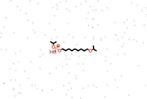 CC(C)OCCCCCCCCCOP(=O)(O)OC(C)C